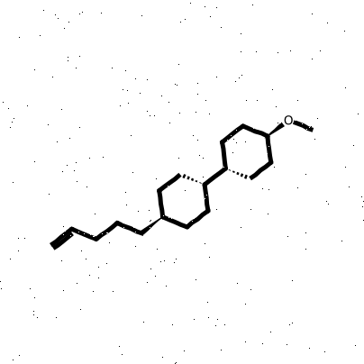 C=CCCC[C@H]1CC[C@H]([C@H]2CC[C@H](OC)CC2)CC1